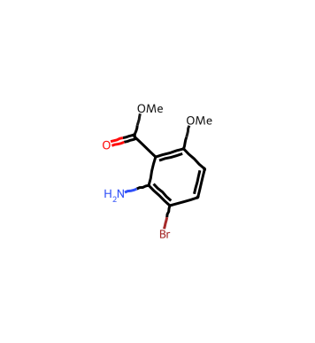 COC(=O)c1c(OC)ccc(Br)c1N